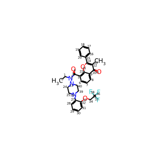 CCN(C(=O)c1cccc2c(=O)c(C)c(-c3ccccc3)oc12)N1CCN(c2ccccc2OCC(F)(F)F)CC1